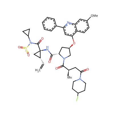 C=C[C@@H]1C[C@]1(NC(=O)[C@@H]1C[C@@H](Oc2cc(-c3ccccc3)nc3cc(OC)ccc23)CN1C(=O)[C@@H](CC(=O)N1CCC(F)CC1)C(C)(C)C)C(=O)N(C1CC1)[SH](=O)=O